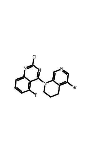 Fc1cccc2nc(Cl)nc(N3CCCc4c(Br)cncc43)c12